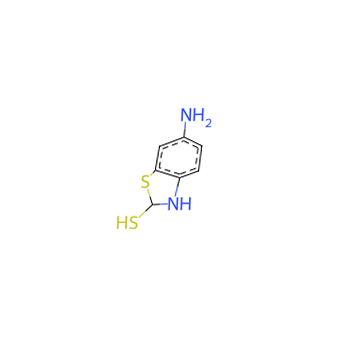 Nc1ccc2c(c1)SC(S)N2